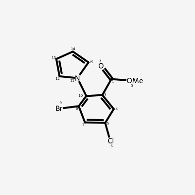 COC(=O)c1cc(Cl)cc(Br)c1-n1cccc1